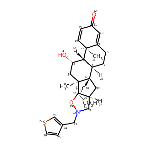 C[C@]12C[C@H](O)[C@H]3[C@@H](CCC4=CC(=O)C=C[C@@]43C)[C@]1(C)C[C@H]1CN(Cc3ccsc3)O[C@]12C(=O)O